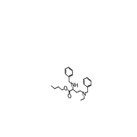 CCCCOC(=O)C(CCN(CC)Cc1ccccc1)NCc1ccccc1